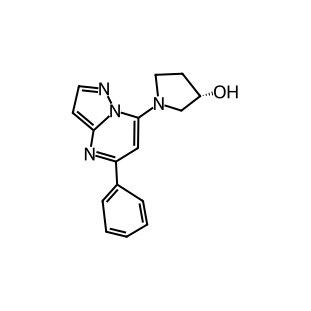 O[C@H]1CCN(c2cc(-c3ccccc3)nc3ccnn23)C1